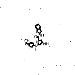 COc1ccc(Nc2cc(N)cc(C(=O)NC3Cc4ccccc4C3)n2)cc1